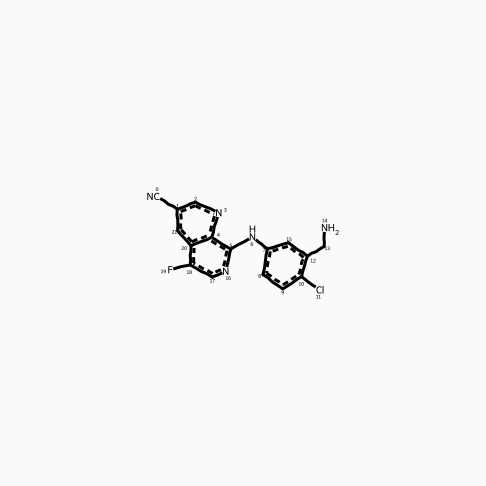 N#Cc1cnc2c(Nc3ccc(Cl)c(CN)c3)ncc(F)c2c1